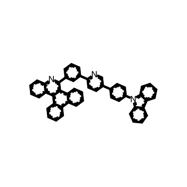 c1cc(-c2ccc(-c3ccc(-n4c5ccccc5c5ccccc54)cc3)cn2)cc(-c2nc3ccccc3c3c4ccccc4c4ccccc4c23)c1